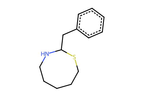 c1ccc(CC2NCCCCCS2)cc1